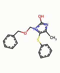 Cc1nc(O)n(COCc2ccccc2)c1Sc1ccccc1